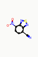 N#Cc1ccc([N+](=O)[O-])c2nsnc12